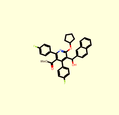 COC(=O)c1c(-c2ccc(F)cc2)nc(OC2CCCC2)c(C(O)c2ccc3ccccc3c2)c1-c1ccc(F)cc1